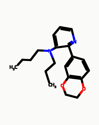 CCCCN(CCC)c1cccnc1-c1ccc2c(c1)OCCO2